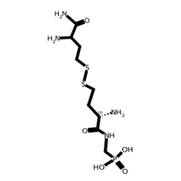 NC(=O)C(N)CCSSCC[C@H](N)C(=O)NCP(=O)(O)O